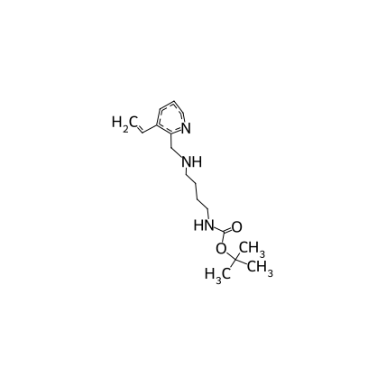 C=Cc1cccnc1CNCCCCNC(=O)OC(C)(C)C